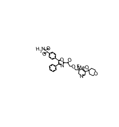 COC1(C2=CC(F)(COCC(=O)c3nc(-c4ccccc4)c(-c4ccc(S(N)(=O)=O)cc4)o3)CN=C2)CCOCC1